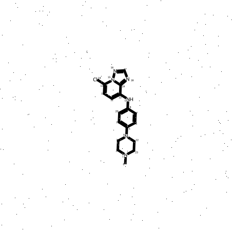 CN1CCN(c2ccc(Nc3ccc(Cl)n4ncnc34)cc2)CC1